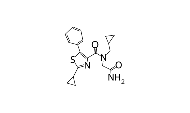 NC(=O)CN(CC1CC1)C(=O)c1nc(C2CC2)sc1-c1ccccc1